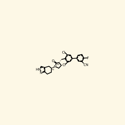 N#Cc1cc(-c2cc(Cl)c(C[C@@H]3CCN([C@H]4CCc5n[nH]cc5C4)C3=O)c(Cl)c2)ccc1F